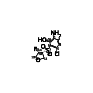 Nc1ccc(Cl)c(S(=O)(=O)[C@@H]2COC[C@@H]2F)c1O